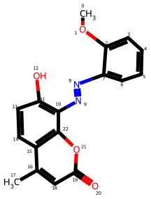 COc1ccccc1N=Nc1c(O)ccc2c(C)cc(=O)oc12